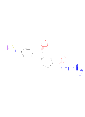 NNC(=O)c1cccc(C(=O)c2ccc3c(c2)CCN3SI)c1